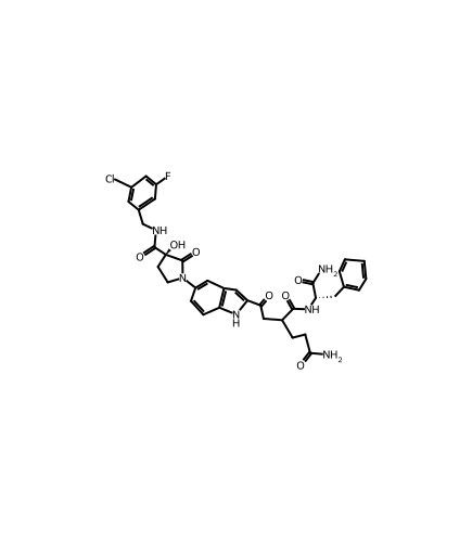 NC(=O)CCC(CC(=O)c1cc2cc(N3CC[C@](O)(C(=O)NCc4cc(F)cc(Cl)c4)C3=O)ccc2[nH]1)C(=O)N[C@@H](Cc1ccccc1)C(N)=O